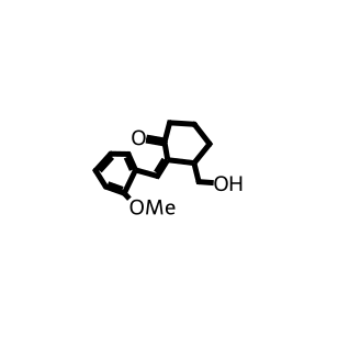 COc1ccccc1/C=C1\C(=O)CCCC1CO